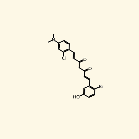 CN(C)c1ccc(C=CC(=O)CC(=O)C=Cc2cc(O)ccc2Br)c(Cl)c1